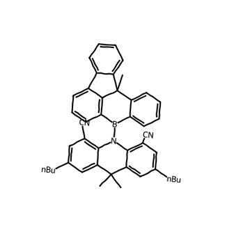 CCCCc1cc(C#N)c2c(c1)C(C)(C)c1cc(CCCC)cc(C#N)c1N2B1c2ccccc2C2(C)c3ccccc3-c3cccc1c32